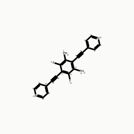 Fc1c(P)c(C#Cc2ccncc2)c(P)c(F)c1C#Cc1ccncc1